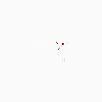 O=[Si]([O-])[O-].[CaH2].[CaH2].[K+].[K+]